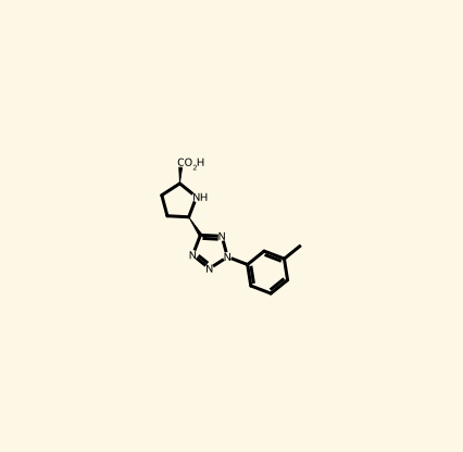 Cc1cccc(-n2nnc([C@H]3CC[C@@H](C(=O)O)N3)n2)c1